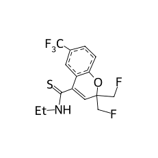 CCNC(=S)C1=CC(CF)(CF)Oc2ccc(C(F)(F)F)cc21